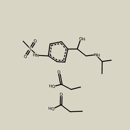 CC(C)NCC(O)c1ccc(NS(C)(=O)=O)cc1.CCC(=O)O.CCC(=O)O